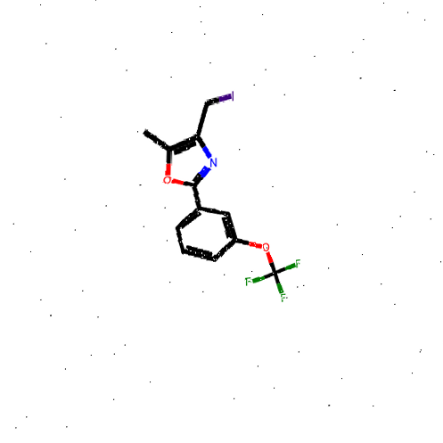 Cc1oc(-c2cccc(OC(F)(F)F)c2)nc1CI